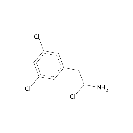 NC(Cl)Cc1cc(Cl)cc(Cl)c1